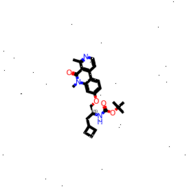 Cc1nccc2c1c(=O)n(C)c1cc(OC[C@H](CC3CCC3)NC(=O)OC(C)(C)C)ccc21